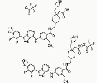 CCc1cc(Nc2nccn3c(-c4ccc(OC)c(F)c4F)cnc23)ccc1C(=O)NCC1CC[N+](CC(=O)O)(CC2CNC2)CC1.CCc1cc(Nc2nccn3c(-c4ccc(OC)c(F)c4F)cnc23)ccc1C(=O)NCC1CC[N+](CC(=O)O)(CC2CNC2)CC1.O=C([O-])C(F)(F)F.O=C([O-])C(F)(F)F